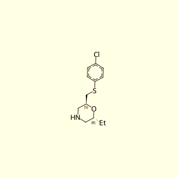 CC[C@@H]1CNC[C@@H](CSc2ccc(Cl)cc2)O1